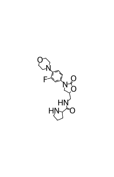 O=C(NCC1CN(c2ccc(N3CCOCC3)c(F)c2)C(=O)O1)C1CCCN1